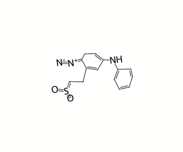 [N-]=[N+]=C1CC=C(Nc2ccccc2)C=C1CC=S(=O)=O